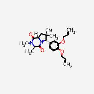 C=CCOc1ccc([C@@H]2N3C(=O)[C@@H](C)N(C)C(=O)[C@@H]3C[C@]2(C)C#N)cc1OCC=C